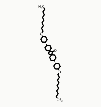 CCCCCCCCCCO[C@H]1CC[C@H](C2CCC3(CC2)CC2(CCC([C@H]4CC[C@H](OCCCCCCCCCC)CC4)CC2)C3=O)CC1